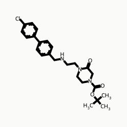 CC(C)(C)OC(=O)N1CCN(CCNCc2ccc(-c3ccc(Cl)cc3)cc2)C(=O)C1